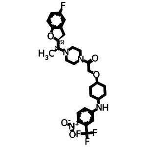 C[C@@H]([C@@H]1Cc2cc(F)ccc2O1)N1CCN(C(=O)COC2CCC(Nc3ccc([N+](=O)[O-])c(C(F)(F)F)c3)CC2)CC1